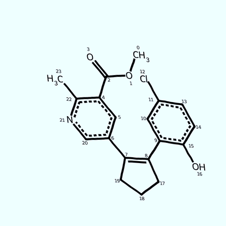 COC(=O)c1cc(C2=C(c3cc(Cl)ccc3O)CCC2)cnc1C